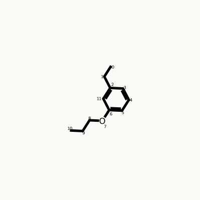 [CH2]Cc1cccc(OCCC)c1